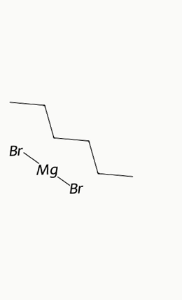 CCCCCC.[Br][Mg][Br]